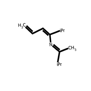 C=C/C=C(\N=C(/C)C(C)C)C(C)C